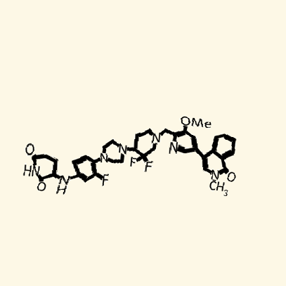 COc1cc(-c2cn(C)c(=O)c3ccccc23)cnc1CN1CCC(N2CCN(c3ccc(NC4CCC(=O)NC4=O)cc3F)CC2)C(F)(F)C1